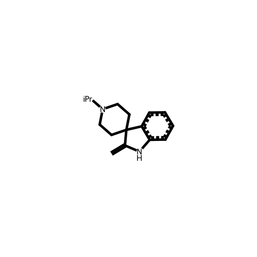 C=C1Nc2ccccc2C12CCN(C(C)C)CC2